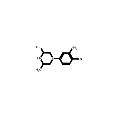 CC1CN(c2ccc(C#N)c(N)c2)CC(C)N1